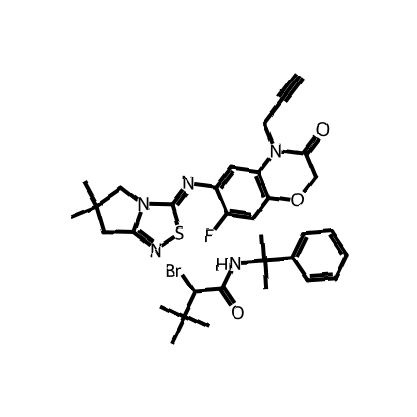 C#CCN1C(=O)COc2cc(F)c(/N=c3\snc4n3CC(C)(C)C4)cc21.CC(C)(NC(=O)C(Br)C(C)(C)C)c1ccccc1